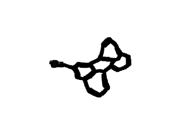 CC(C)(C)c1cc2cccc3c4cccc5cccc(c(c1)c23)c54